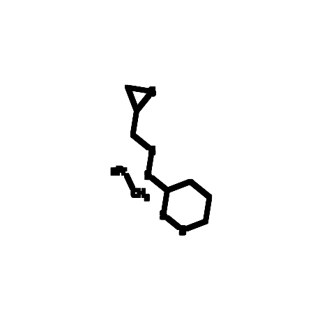 C1CSSC(SSCC2CS2)C1.CCCC